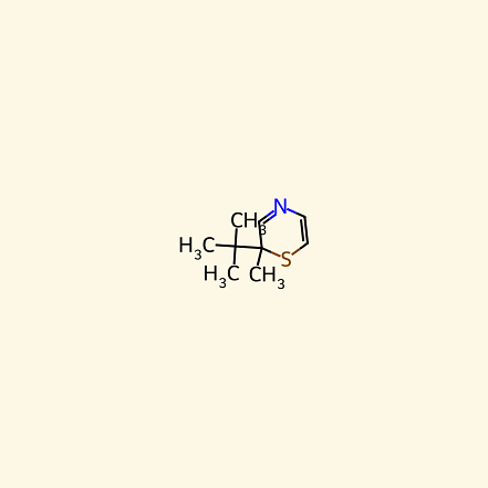 CC(C)(C)C1(C)C=NC=CS1